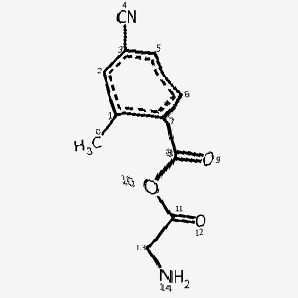 Cc1cc(C#N)ccc1C(=O)OC(=O)CN